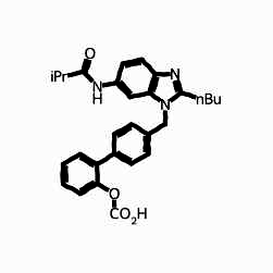 CCCCc1nc2ccc(NC(=O)C(C)C)cc2n1Cc1ccc(-c2ccccc2OC(=O)O)cc1